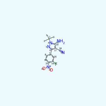 CC(C)(C)n1nc(-c2ccc([N+](=O)[O-])c(F)c2)c(C#N)c1N